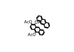 CC(=O)Oc1ccc2c(OC(C)=O)c3ccccc3cc2c1OC(C)=O.c1ccc2cc3ccccc3cc2c1